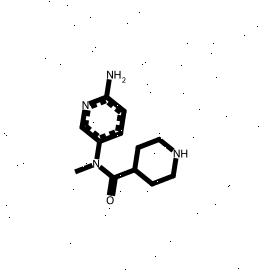 CN(C(=O)C1CCNCC1)c1ccc(N)nc1